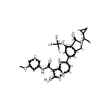 COc1cncc(NC(=O)c2c(N)nn3ccc(-c4cc5c(c(OC(F)(F)F)c4)C(=O)N(C(C)C4CC4)C5)nc23)c1